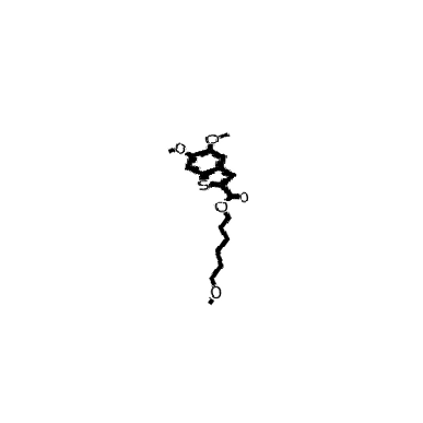 COCCCCCCOC(=O)c1cc2cc(OC)c(OC)cc2s1